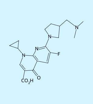 CN(C)CC1CCN(c2nc3c(cc2F)c(=O)c(C(=O)O)cn3C2CC2)C1